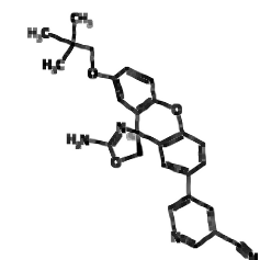 CC(C)(C)COc1ccc2c(c1)[C@]1(COC(N)=N1)c1cc(-c3cncc(C#N)c3)ccc1O2